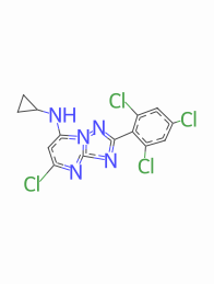 Clc1cc(Cl)c(-c2nc3nc(Cl)cc(NC4CC4)n3n2)c(Cl)c1